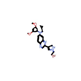 COc1cc(OC)cc(N(CC2CC2)c2ccc3ncc(-c4cnn(CCBr)c4)nc3c2)c1